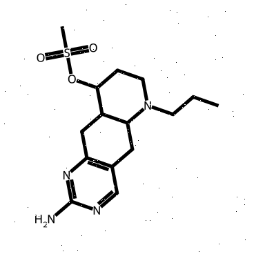 CCCN1CCC(OS(C)(=O)=O)C2Cc3nc(N)ncc3CC21